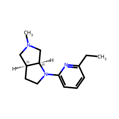 CCc1cccc(N2CC[C@H]3CN(C)C[C@H]32)n1